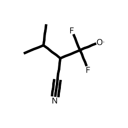 CC(C)C(C#N)C([O])(F)F